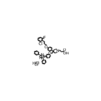 Cl.O=C(O)CCN1CCC2(CC1)COc1cc(OCCCc3c(F)cccc3Cl)ccc12.[Cl-].c1ccc(-c2nn(-c3ccccc3)[n+](-c3ccccc3)n2)cc1